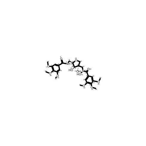 COc1cc(C(=O)NC[C@H]2OC[C@@](O)(CN(O)C(=O)c3cc(OC)c(OC)c(OC)c3)[C@@H]2O)cc(OC)c1OC